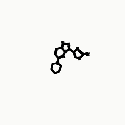 Brc1nc(-c2nnc3ccc(N4CCCCC4)nn23)cs1